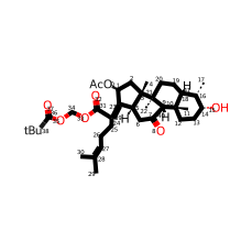 CC(=O)O[C@H]1C[C@@]2(C)[C@@H](CC(=O)[C@H]3[C@@]4(C)CC[C@@H](O)[C@@H](C)[C@@H]4CC[C@@]32C)/C1=C(\CCC=C(C)C)C(=O)OCOC(=O)C(C)(C)C